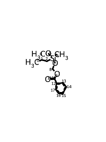 CCC[Si](C)(OC)OCOC(=O)c1ccccc1